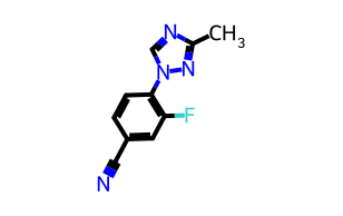 Cc1ncn(-c2ccc(C#N)cc2F)n1